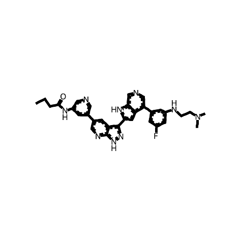 CCCC(=O)Nc1cncc(-c2cnc3[nH]nc(-c4cc5c(-c6cc(F)cc(NCCN(C)C)c6)cncc5[nH]4)c3c2)c1